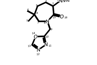 CNC1CCC(C)(C)CN(Cc2nnco2)C1=O